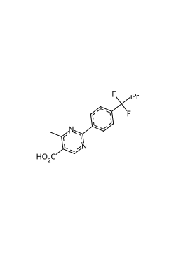 Cc1nc(-c2ccc(C(F)(F)C(C)C)cc2)ncc1C(=O)O